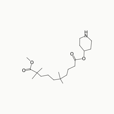 COC(=O)C(C)(C)CCCC(C)(C)CCCC(=O)OC1CCNCC1